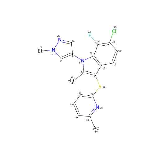 CCn1cc(-n2c(C)c(Sc3cccc(C(C)=O)n3)c3ccc(Cl)c(F)c32)cn1